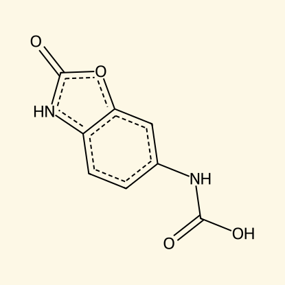 O=C(O)Nc1ccc2[nH]c(=O)oc2c1